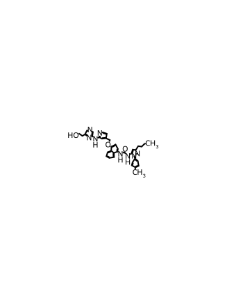 CCCCc1cc(NC(=O)Nc2ccc(OCc3ccnc(Nc4cncc(CCO)n4)c3)c3ccccc23)n(-c2ccc(C)cc2)n1